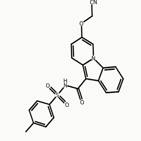 Cc1ccc(S(=O)(=O)NC(=O)c2c3ccccc3n3cc(OCC#N)ccc23)cc1